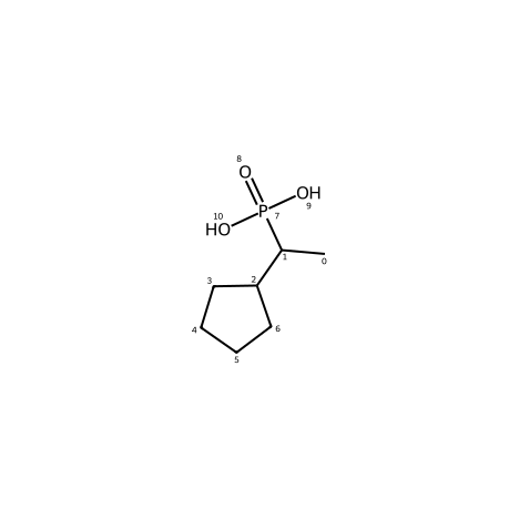 CC(C1CCCC1)P(=O)(O)O